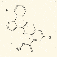 Cc1cc(Cl)cc(C(=O)NN)c1NC(=O)c1cccn1-c1ncccc1Cl